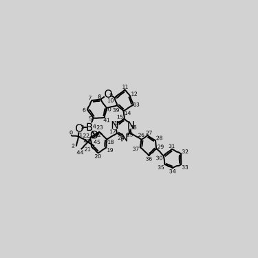 CC1(C)OB(c2ccc3oc4cccc(-c5nc(-c6ccccc6)nc(-c6ccc(-c7ccccc7)cc6)n5)c4c3c2)OC1(C)C